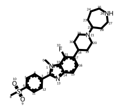 Cn1c(-c2ccc(S(C)(=O)=O)cc2)nc2ccc(C3CCN(C4CCCNCC4)CC3)c(F)c21